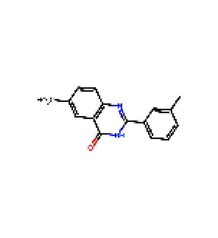 Cc1cccc(-c2nc3ccc(C(=O)O)cc3c(=O)[nH]2)c1